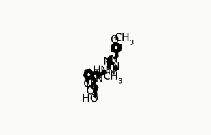 COc1ccc(Cn2cnc3c(N[C@@H](C)c4cc5cccc(Cl)c5c(-c5cc(CO)on5)n4)ncnc32)cc1